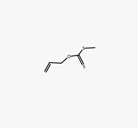 C=CCOC(=S)SC